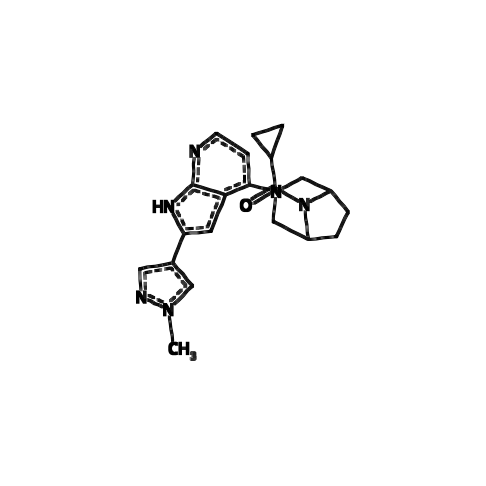 Cn1cc(-c2cc3c(N4CC5CCC(C4)N5C(=O)C4CC4)ccnc3[nH]2)cn1